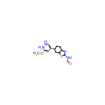 CO/C(N)=C/C(=C\N)c1ccc2nc(NC=O)sc2c1